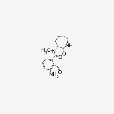 CN(C(=O)c1cccc(N)c1C=O)C1CCCCNC1=O